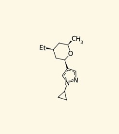 CC[C@H]1C[C@@H](C)O[C@@H](c2cnn(C3CC3)c2)C1